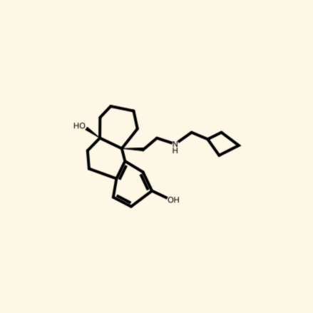 Oc1ccc2c(c1)[C@@]1(CCNCC3CCC3)CCCC[C@@]1(O)CC2